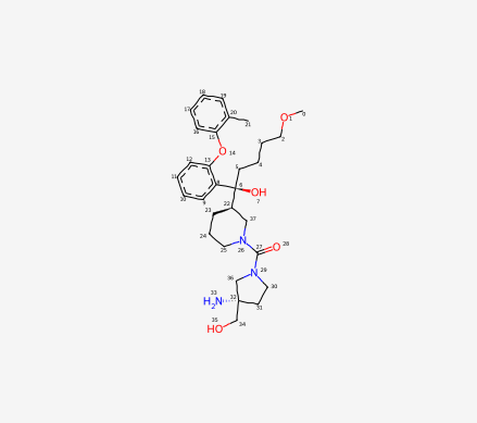 COCCCC[C@@](O)(c1ccccc1Oc1ccccc1C)[C@@H]1CCCN(C(=O)N2CC[C@@](N)(CO)C2)C1